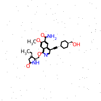 CC[C@@H]1CC(=O)N[C@@H]1COc1ncc(C#C[C@H]2CC[C@H](CO)CC2)c2cc(C(N)=O)c(OC)cc12